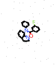 O=C(c1cccc(F)c1)N(c1ccccc1)c1cccc2cccnc12